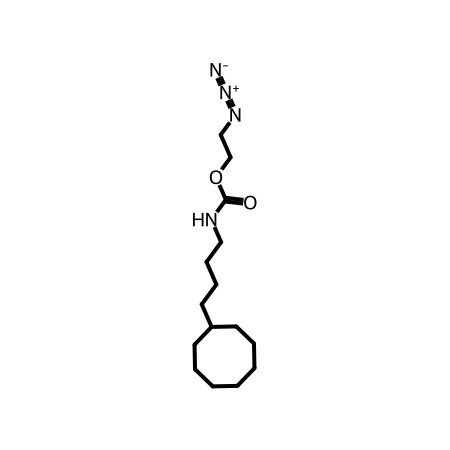 [N-]=[N+]=NCCOC(=O)NCCCCC1CCCCCCC1